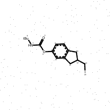 CC(C)(C)NC(=O)Oc1ccc2c(c1)CC(CI)C2